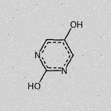 Oc1cnc(O)nc1